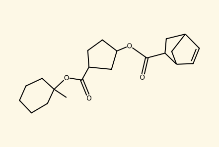 CC1(OC(=O)C2CCC(OC(=O)C3CC4C=CC3C4)C2)CCCCC1